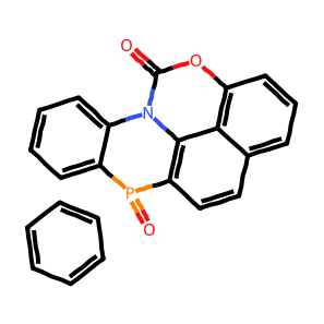 O=C1Oc2cccc3ccc4c(c23)N1c1ccccc1[P@]4(=O)c1ccccc1